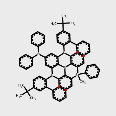 CC(C)(C)c1ccc(N2c3cc(N(c4ccccc4)c4ccccc4)cc4c3B3c5c2cccc5[Si](C)(c2ccccc2)c2cccc(c23)N4c2ccc(C(C)(C)C)cc2-c2ccccc2)c(-c2ccccc2)c1